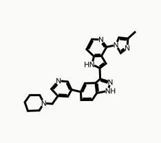 Cc1cn(-c2nccc3[nH]c(-c4n[nH]c5ccc(-c6cncc(CN7CCCCC7)c6)cc45)cc23)cn1